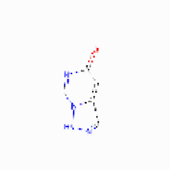 O=c1cc2cn[nH]n2cn1